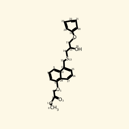 COC(=O)COc1cccc2c(CSCC(O)COc3ccccc3)cccc12